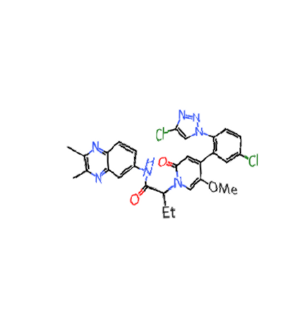 CCC(C(=O)Nc1ccc2nc(C)c(C)nc2c1)n1cc(OC)c(-c2cc(Cl)ccc2-n2cc(Cl)nn2)cc1=O